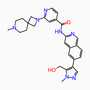 CN1CCC2(CC1)CN(c1cc(C(=O)Nc3cc4cc(-c5cnn(C)c5CO)ccc4cn3)ccn1)C2